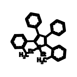 CC[Si]1(CC)C(c2ccccc2C)=C(c2ccccc2)C(c2ccccc2)=C1c1ccccc1C